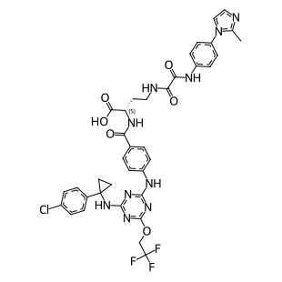 Cc1nccn1-c1ccc(NC(=O)C(=O)NCC[C@H](NC(=O)c2ccc(Nc3nc(NC4(c5ccc(Cl)cc5)CC4)nc(OCC(F)(F)F)n3)cc2)C(=O)O)cc1